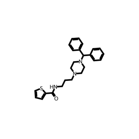 O=C(NCCCN1CCN(C(c2ccccc2)c2ccccc2)CC1)c1cccs1